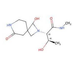 CNC(=O)[C@H]([C@@H](C)O)N1CC2(CCNC(=O)C2)C1O